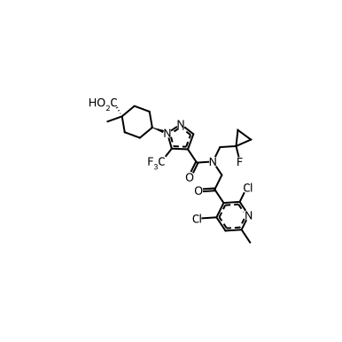 Cc1cc(Cl)c(C(=O)CN(CC2(F)CC2)C(=O)c2cnn([C@H]3CC[C@](C)(C(=O)O)CC3)c2C(F)(F)F)c(Cl)n1